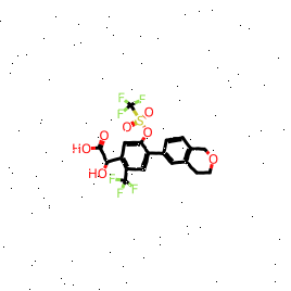 O=C(O)C(O)c1cc(OS(=O)(=O)C(F)(F)F)c(-c2ccc3c(c2)CCOC3)cc1C(F)(F)F